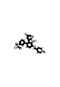 CCS(=O)(=O)c1cccc(-c2ccc(OCC3CCN(C)CC3)c3[nH]c4ncc(F)cc4c23)c1